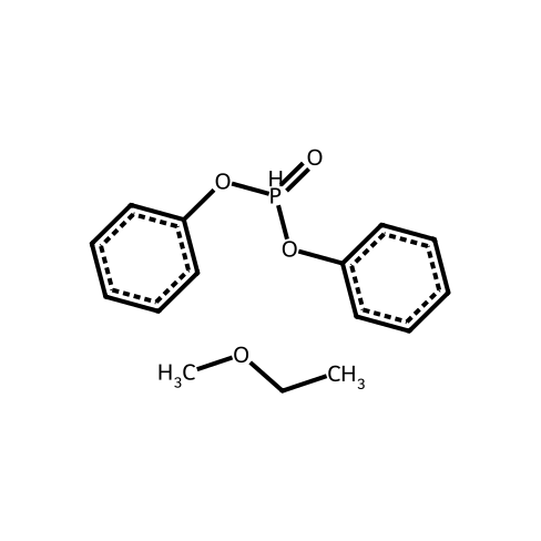 CCOC.O=[PH](Oc1ccccc1)Oc1ccccc1